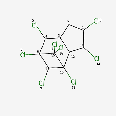 ClC1CC2C(Cl)C3(Cl)C(Cl)C(Cl)(C2C1Cl)C3(Cl)Cl